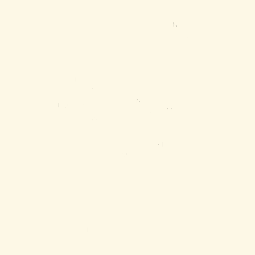 O=C(O)C(F)(F)F.O=c1c(Cl)c(OCc2ccc(F)cc2F)ccn1Cc1cccc2cnccc12